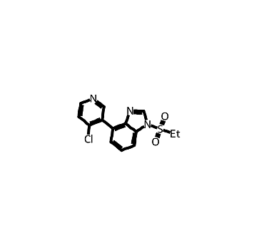 CCS(=O)(=O)n1cnc2c(-c3cnccc3Cl)cccc21